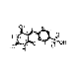 O=C1NC(=O)C(=Cc2ccc(S(=O)(=O)O)cc2)C(=O)N1